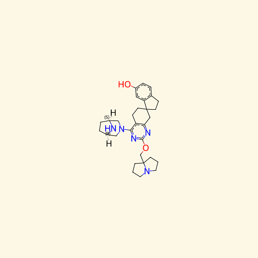 Oc1ccc2c(c1)C1(CC2)CCc2c(nc(OCC34CCCN3CCC4)nc2N2C[C@H]3CC[C@@H](C2)N3)C1